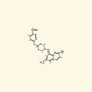 COc1ccc(CN2CCC(Oc3cc(C)nc4ccc(Br)cc34)CC2)cc1